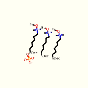 CCCCCCCCCCCCCCCC[N+](C)(C)OCC.CCCCCCCCCCCCCCCC[N+](C)(C)OCC.CCCCCCCCCCCCCCCC[N+](C)(C)OCC.O=P([O-])([O-])[O-]